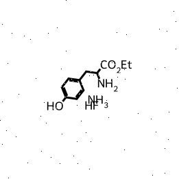 CCOC(=O)C(N)Cc1ccc(O)cc1.F.N